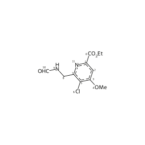 CCOC(=O)c1cc(OC)c(Cl)c(CNC=O)n1